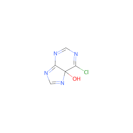 OC12N=CN=C1N=CN=C2Cl